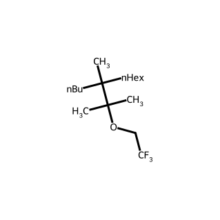 CCCCCCC(C)(CCCC)C(C)(C)OCC(F)(F)F